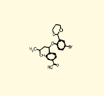 CC(C)CC(Oc1ccc(Br)cc1C1OCCCO1)c1ccc(C(=O)O)cc1